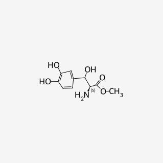 COC(=O)[C@@H](N)C(O)c1ccc(O)c(O)c1